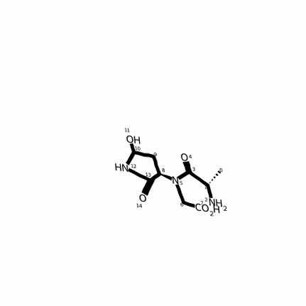 C[C@H](N)C(=O)N(CC(=O)O)[C@@H]1CC(O)NC1=O